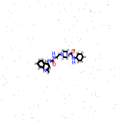 Cc1cc(NC(=O)NCCN2CCN(C(=O)NC3CCCCC3)CC2)c2ccccc2n1